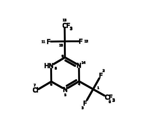 FC(F)(F)C(F)(F)C1=NC(Cl)NC(C(F)(F)C(F)(F)F)=N1